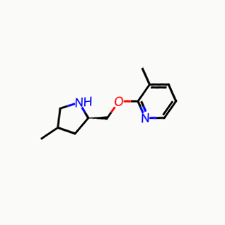 Cc1cccnc1OC[C@H]1CC(C)CN1